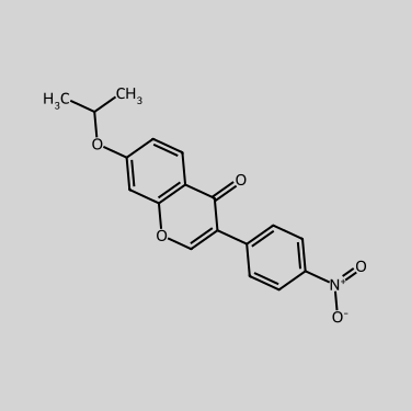 CC(C)Oc1ccc2c(=O)c(-c3ccc([N+](=O)[O-])cc3)coc2c1